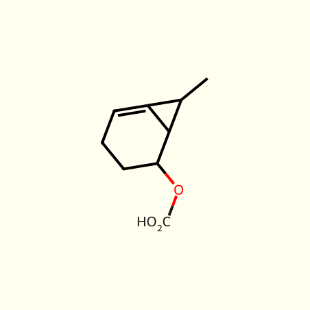 CC1C2=CCCC(OC(=O)O)C21